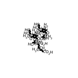 CN(CC(O)CO)C(=O)c1c(I)c(N)c(I)c(C(=O)N(C)CC(O)CO)c1I.CN(CC(O)CO)C(=O)c1c(I)c(N)c(I)c(C(=O)N(C)CC(O)CO)c1I.C[Si](C)(CCCC(=O)O)CCCC(=O)O